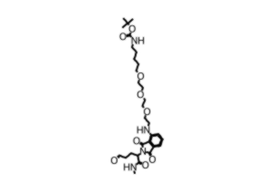 CNC(=O)C(CCC=O)N1C(=O)c2cccc(NCCOCCOCCOCCCCCNC(=O)OC(C)(C)C)c2C1=O